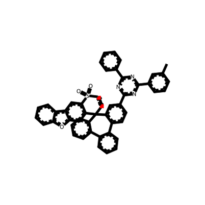 Cc1cccc(-c2nc(-c3ccccc3)nc(-c3ccc4c(c3)C3(c5ccccc5-c5ccccc5-4)c4ccccc4S(=O)(=O)c4cc5c(cc43)oc3ccccc35)n2)c1